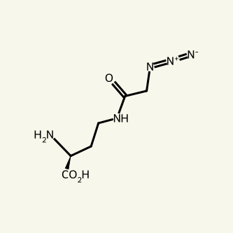 [N-]=[N+]=NCC(=O)NCC[C@H](N)C(=O)O